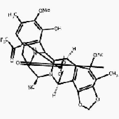 COc1c(C)cc2c(c1O)C1NC(C2)[C@H](C#N)N2C1[C@@H]1SCC(NC(=O)C(F)(F)F)C(=O)OC[C@H]2c2c3c(c(C)c(OC(C)=O)c21)OCO3